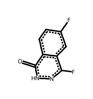 O=c1[nH]nc(F)c2cc(F)ccc12